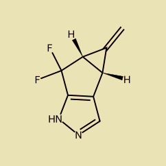 C=C1[C@@H]2c3cn[nH]c3C(F)(F)[C@H]12